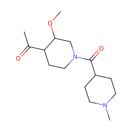 COC1CN(C(=O)C2CCN(C)CC2)CCC1C(C)=O